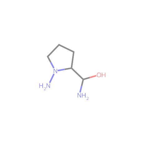 NC(O)C1CCCN1N